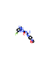 O=C(CNc1ncnc2ccc(C(F)(F)F)cc12)NC1CN(C2CCC(N3CCCO3)CC2)C1